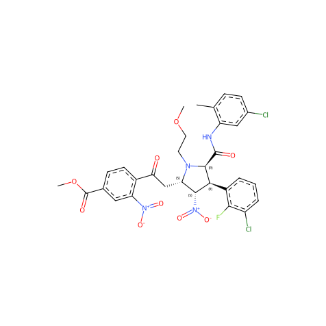 COCCN1[C@@H](CC(=O)c2ccc(C(=O)OC)cc2[N+](=O)[O-])[C@@H]([N+](=O)[O-])[C@H](c2cccc(Cl)c2F)[C@@H]1C(=O)Nc1cc(Cl)ccc1C